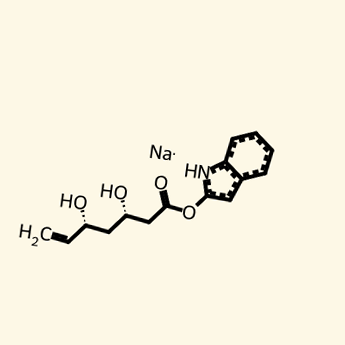 C=C[C@H](O)C[C@H](O)CC(=O)Oc1cc2ccccc2[nH]1.[Na]